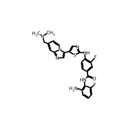 CN(C)Cc1ccn2c(-c3cnc(Nc4ccc(C(=O)Nc5c(N)cccc5F)cc4F)s3)cnc2c1